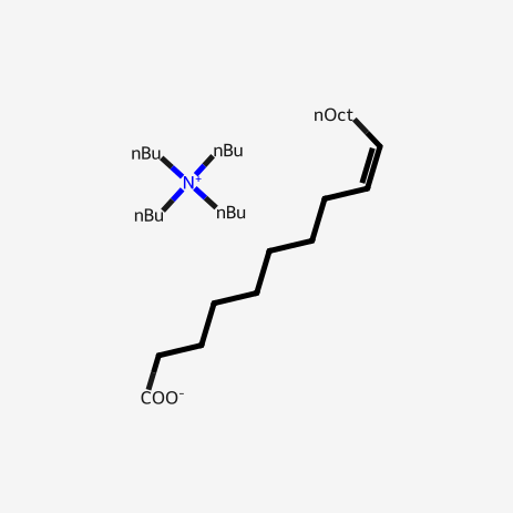 CCCCCCCC/C=C\CCCCCCCC(=O)[O-].CCCC[N+](CCCC)(CCCC)CCCC